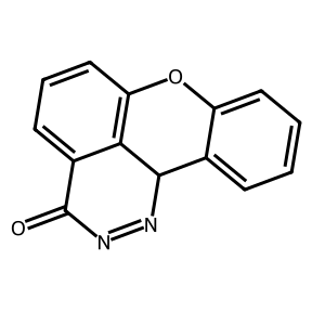 O=C1N=NC2c3ccccc3Oc3cccc1c32